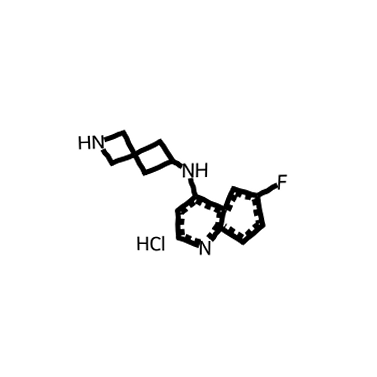 Cl.Fc1ccc2nccc(NC3CC4(CNC4)C3)c2c1